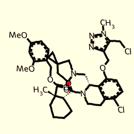 COc1ccc(COC(=O)[C@@]2(C)CCCC[C@H]2C(=O)N2CCc3c(Cl)ccc(OCc4nnn(C)c4CCl)c3[C@H]2CN2CC3(CC3)CC2=O)c(OC)c1